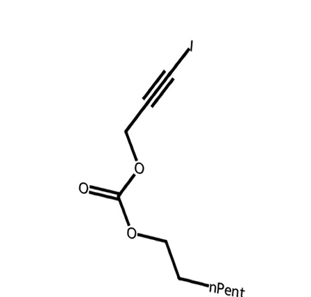 CCCCCCCOC(=O)OCC#CI